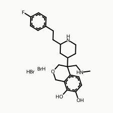 Br.Br.CNCC1(C2CCNC(CCc3ccc(F)cc3)C2)COCc2c1ccc(O)c2O